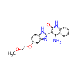 COCCOc1ccc2[nH]c(-c3c(N)c4ccccc4[nH]c3=O)nc2c1